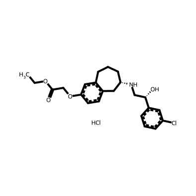 CCOC(=O)COc1ccc2c(c1)CCC[C@H](NC[C@H](O)c1cccc(Cl)c1)C2.Cl